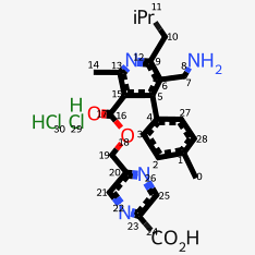 Cc1ccc(-c2c(CN)c(CC(C)C)nc(C)c2C(=O)OCc2cnc(C(=O)O)cn2)cc1.Cl.Cl